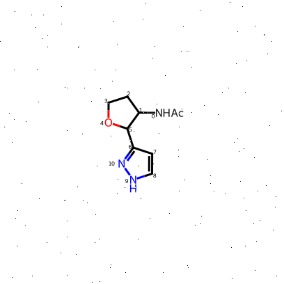 CC(=O)NC1CCOC1c1cc[nH]n1